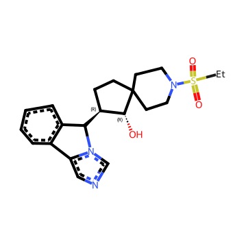 CCS(=O)(=O)N1CCC2(CC[C@H](C3c4ccccc4-c4cncn43)[C@H]2O)CC1